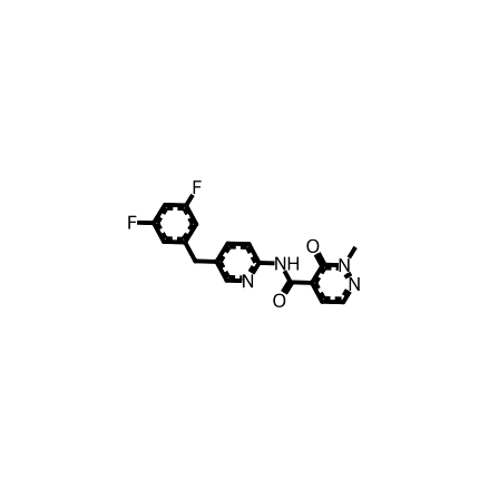 Cn1nccc(C(=O)Nc2ccc(Cc3cc(F)cc(F)c3)cn2)c1=O